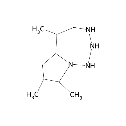 CC1CC2C(C)CNNNN2C1C